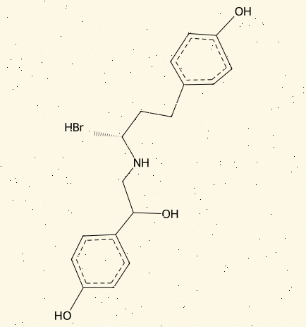 Br.C[C@H](CCc1ccc(O)cc1)NCC(O)c1ccc(O)cc1